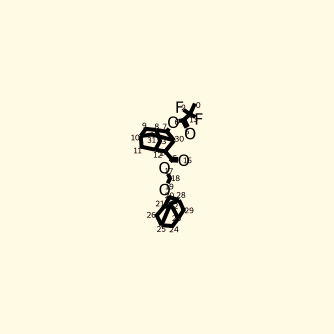 CC(F)(F)C(=O)OC1C2CC3CC(C2)C(C(=O)OCOC2C4CC5CC(C4)CC2C5)C1C3